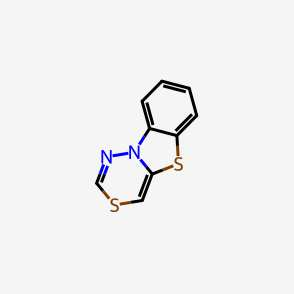 C1=NN2C(=CS1)Sc1ccccc12